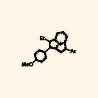 CCc1c(-c2ccc(OC)cc2)c2cc(C(C)=O)c3cccc1n32